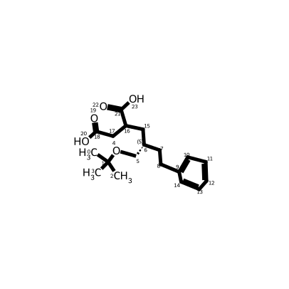 CC(C)(C)OC[C@@H](CCc1ccccc1)CC(CC(=O)O)C(=O)O